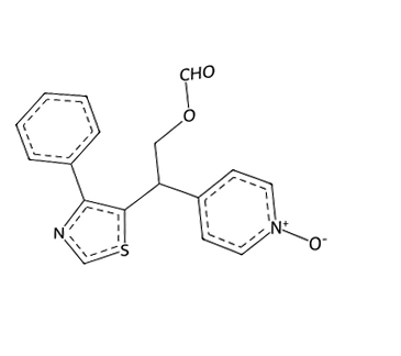 O=COCC(c1cc[n+]([O-])cc1)c1scnc1-c1ccccc1